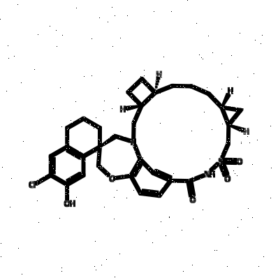 O=C1NS(=O)(=O)C[C@H]2C[C@H]2CCC[C@@H]2CC[C@H]2CN2C[C@@]3(CCCc4cc(Cl)c(O)cc43)COc3ccc1cc32